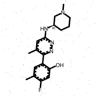 Cc1cc(-c2nnc(N[C@@H]3CCCN(C)C3)cc2C)c(O)cc1F